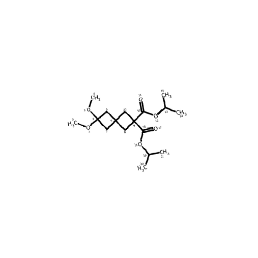 COC1(OC)CC2(C1)CC(C(=O)OC(C)C)(C(=O)OC(C)C)C2